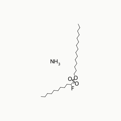 CCCCCCCCCCCCCCCOS(=O)(=O)C(F)CCCCCCCCC.N